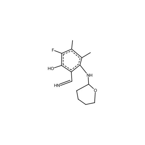 Cc1c(C)c(NC2CCCCO2)c(C=N)c(O)c1F